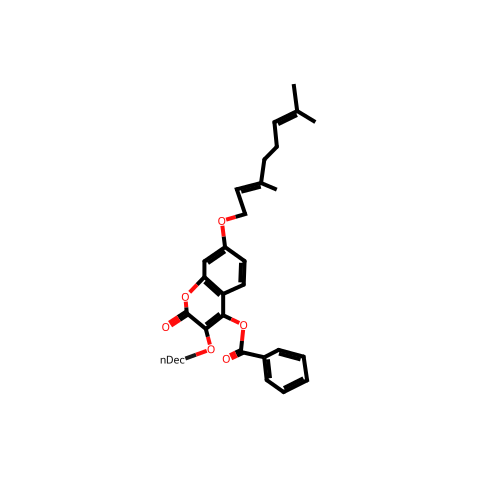 CCCCCCCCCCOc1c(OC(=O)c2ccccc2)c2ccc(OC/C=C(\C)CCC=C(C)C)cc2oc1=O